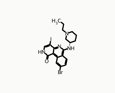 CCCN1CCC[C@H](Nc2nc3c(I)c[nH]c(=O)c3c3cc(Br)ccc23)C1